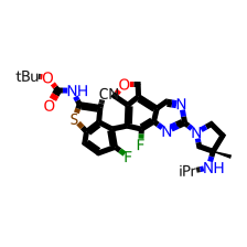 CC(C)N[C@@]1(C)CCN(c2ncc3c4c(c(-c5c(F)ccc6sc(NC(=O)OC(C)(C)C)c(C#N)c56)c(F)c3n2)COC4)C1